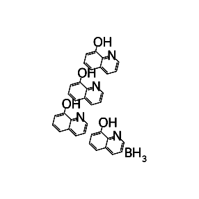 B.Oc1cccc2cccnc12.Oc1cccc2cccnc12.Oc1cccc2cccnc12.Oc1cccc2cccnc12